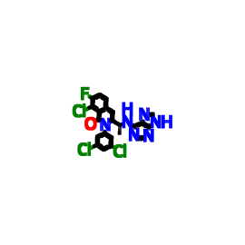 C[C@H](Nc1ncnc2[nH]cnc12)c1cc2ccc(F)c(Cl)c2c(=O)n1-c1cc(Cl)cc(Cl)c1